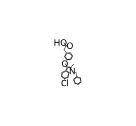 Cc1c(Oc2cccc(CC(=O)O)c2)c2ccc(Cl)cc2n1Cc1ccccc1